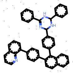 c1ccc(C2=NC(c3ccc(-c4c(-c5ccc(-c6cccc7cccnc67)cc5)ccc5ccccc45)cc3)NC(c3ccccc3)N2)cc1